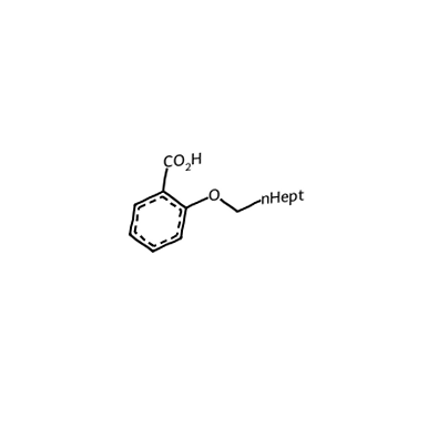 CCCCCCCCOc1ccccc1C(=O)O